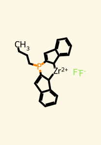 CCCCP1C2=Cc3ccccc3[CH]2[Zr+2][CH]2C1=Cc1ccccc12.[F-].[F-]